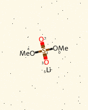 COS(=O)(=O)OC.[Li]